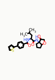 CC(C)CC(NC(=O)c1ccc(-c2cccs2)cc1)C(=O)NC12CCCC1OCC2=O